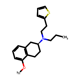 [2H]Oc1cccc2c1CC[C@H](N(CCC)CCc1cccs1)C2